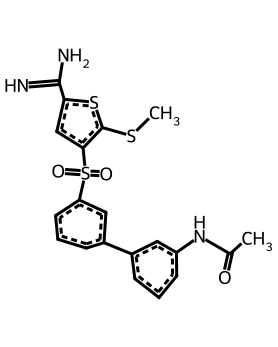 CSc1sc(C(=N)N)cc1S(=O)(=O)c1cccc(-c2cccc(NC(C)=O)c2)c1